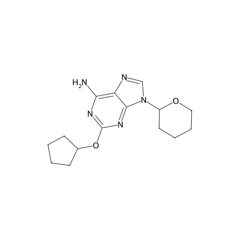 Nc1nc(OC2CCCC2)nc2c1ncn2C1CCCCO1